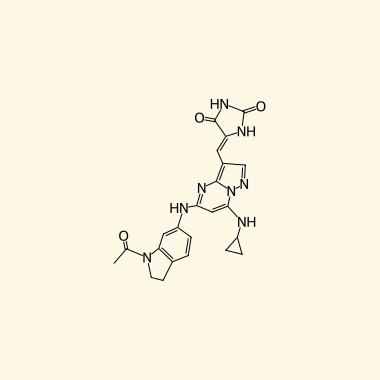 CC(=O)N1CCc2ccc(Nc3cc(NC4CC4)n4ncc(/C=C5\NC(=O)NC5=O)c4n3)cc21